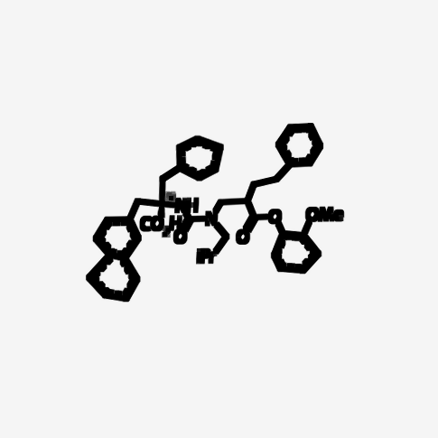 COc1ccccc1OC(=O)C(CCc1ccccc1)CN(CC(C)C)C(=O)N[C@@](Cc1ccccc1)(Cc1ccc2ccccc2c1)C(=O)O